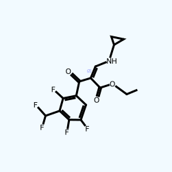 CCOC(=O)/C(=C\NC1CC1)C(=O)c1cc(F)c(F)c(C(F)F)c1F